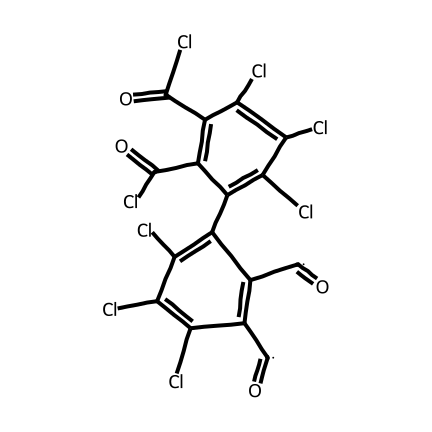 O=[C]c1c(Cl)c(Cl)c(Cl)c(-c2c(Cl)c(Cl)c(Cl)c(C(=O)Cl)c2C(=O)Cl)c1[C]=O